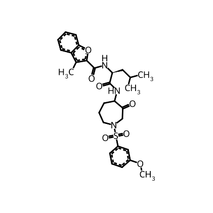 COc1cccc(S(=O)(=O)N2CCCC(NC(=O)[C@H](CC(C)C)NC(=O)c3oc4ccccc4c3C)C(=O)C2)c1